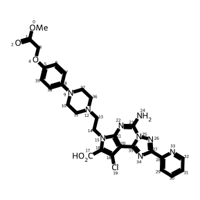 COC(=O)COc1ccc(N2CCN(CCn3c(C(=O)O)c(Cl)c4c3nc(N)n3nc(-c5ccccn5)nc43)CC2)cc1